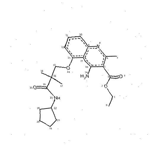 CCOC(=O)c1c(C)nc2cccc(OCC(C)(C)C(=O)NC3CCCC3)c2c1N